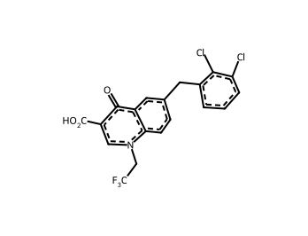 O=C(O)c1cn(CC(F)(F)F)c2ccc(Cc3cccc(Cl)c3Cl)cc2c1=O